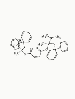 CN(C)[C@@](C)(CC1(c2ccccc2)C=CCC=C1)OC(=O)/C=C\C(=O)O[C@](C)(CC1(c2ccccc2)C=CCC=C1)N(C)C